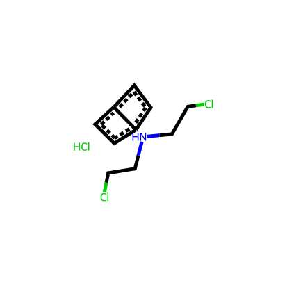 Cl.ClCCNCCCl.c1cc2ccc1-2